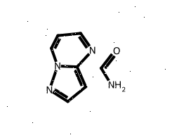 NC=O.c1cnc2ccnn2c1